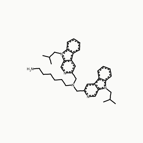 CC(C)Cn1c2ccccc2c2cc(CN(CCCCCCN)Cc3cc4c5ccccc5n(CC(C)C)c4cn3)ncc21